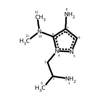 CC(N)Cn1ncc(N)c1N(C)C